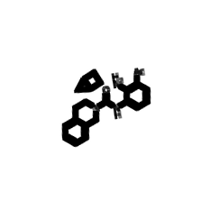 C1CC2CC12.CC(=O)c1cccc(NC(=O)N2CCc3ccccc3C2)c1N